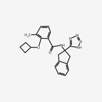 Cc1cccc(C(=O)NC2(c3nnn[nH]3)Cc3ccccc3C2)c1OC1CCC1